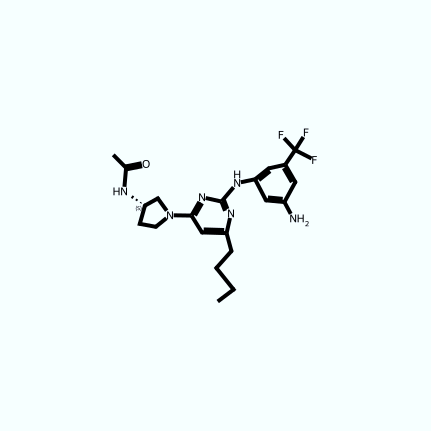 CCCCc1cc(N2CC[C@H](NC(C)=O)C2)nc(Nc2cc(N)cc(C(F)(F)F)c2)n1